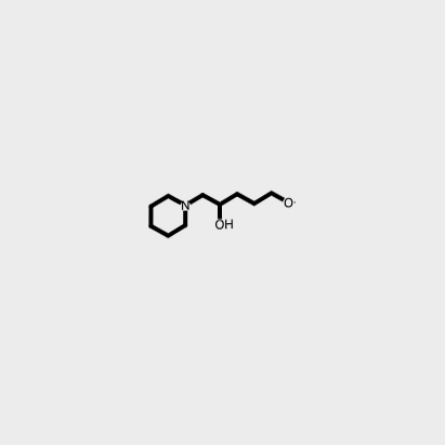 [O]CCCC(O)CN1CCCCC1